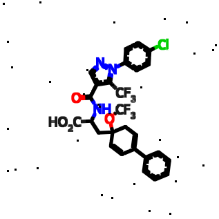 O=C(NC(CC1(OC(F)(F)F)C=CC(c2ccccc2)=CC1)C(=O)O)c1cnn(-c2ccc(Cl)cc2)c1C(F)(F)F